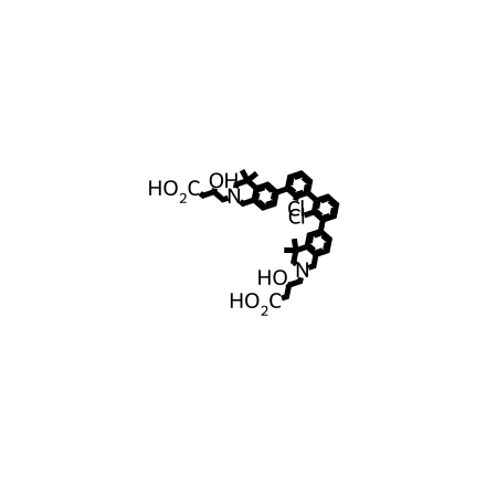 CC1(C)CN(CC(O)CC(=O)O)Cc2ccc(-c3cccc(-c4cccc(-c5ccc6c(c5)C(C)(C)CN(CC(O)CC(=O)O)C6)c4Cl)c3Cl)cc21